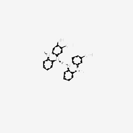 [O-][n+]1c2ccccc2[n+]([O-])c2cc(O)c(O)cc21.[O-][n+]1c2ccccc2[n+]([O-])c2cc(O)ccc21